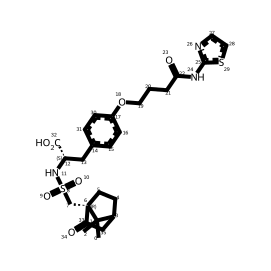 CC1(C)C2CC[C@]1(CS(=O)(=O)N[C@@H](Cc1ccc(OCCCC(=O)Nc3nccs3)cc1)C(=O)O)C(=O)C2